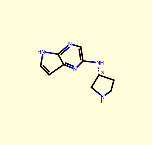 c1cc2nc(N[C@@H]3CCNC3)cnc2[nH]1